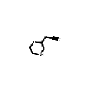 C#CCC1CNCCO1